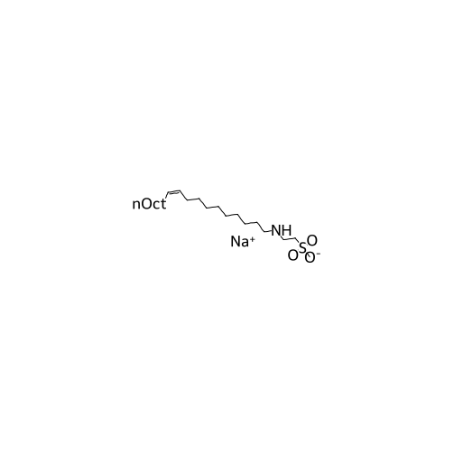 CCCCCCCC/C=C\CCCCCCCCCNCCS(=O)(=O)[O-].[Na+]